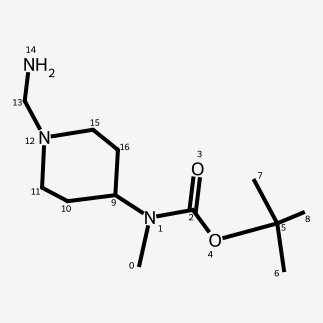 CN(C(=O)OC(C)(C)C)C1CCN(CN)CC1